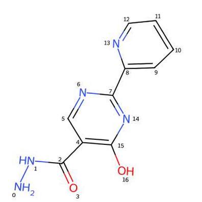 NNC(=O)c1cnc(-c2ccccn2)nc1O